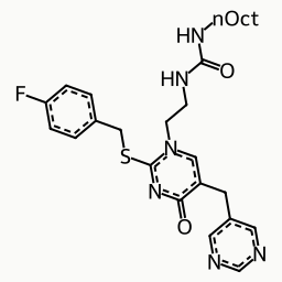 CCCCCCCCNC(=O)NCCn1cc(Cc2cncnc2)c(=O)nc1SCc1ccc(F)cc1